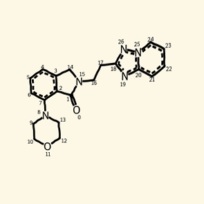 O=C1c2c(cccc2N2CCOCC2)CN1CCc1nc2ccccn2n1